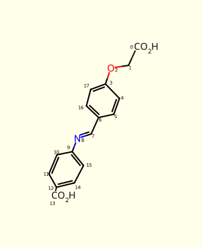 O=C(O)COc1ccc(C=Nc2ccc(C(=O)O)cc2)cc1